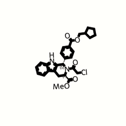 COC(=O)[C@H]1Cc2c([nH]c3ccccc23)[C@H](c2ccc(C(=O)OCC3CCCC3)cc2)N1C(=O)CCl